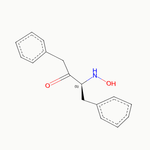 O=C(Cc1ccccc1)[C@H](Cc1ccccc1)NO